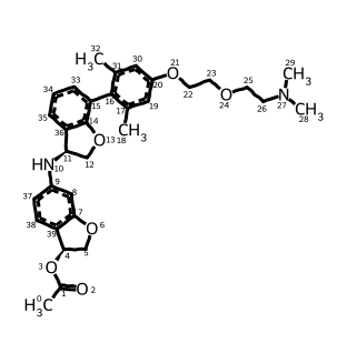 CC(=O)O[C@@H]1COc2cc(N[C@@H]3COc4c(-c5c(C)cc(OCCOCCN(C)C)cc5C)cccc43)ccc21